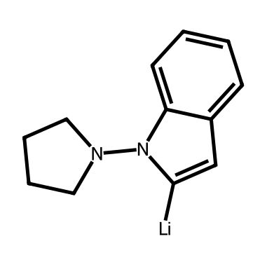 [Li][c]1cc2ccccc2n1N1CCCC1